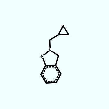 c1ccc2c(c1)CN(CC1CC1)[N]2